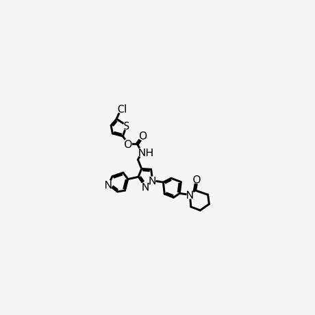 O=C(NCc1cn(-c2ccc(N3CCCCC3=O)cc2)nc1-c1ccncc1)Oc1ccc(Cl)s1